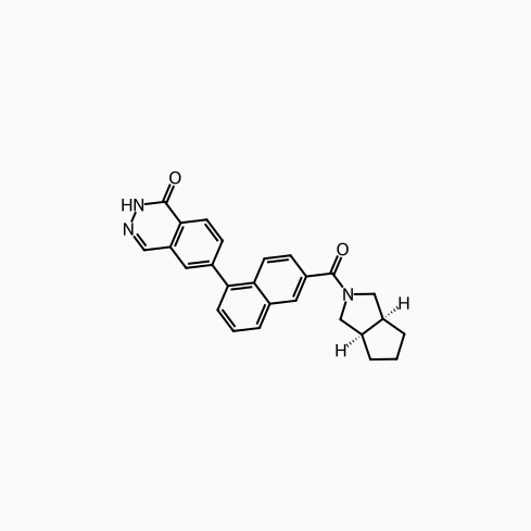 O=C(c1ccc2c(-c3ccc4c(=O)[nH]ncc4c3)cccc2c1)N1C[C@H]2CCC[C@H]2C1